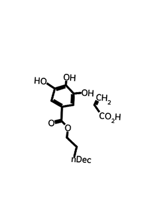 C=CC(=O)O.CCCCCCCCCCCCOC(=O)c1cc(O)c(O)c(O)c1